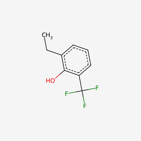 CCc1cccc(C(F)(F)F)c1O